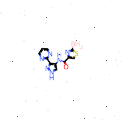 Bc1nc(C(=O)Nc2c[nH]nc2-c2ncccn2)cs1